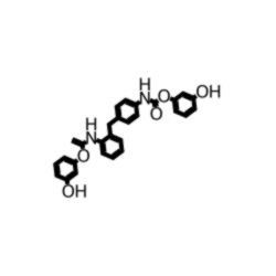 C=C(Nc1ccccc1Cc1ccc(NC(=O)Oc2cccc(O)c2)cc1)Oc1cccc(O)c1